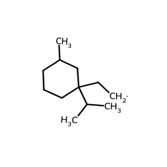 [CH2]CC1(C(C)C)CCCC(C)C1